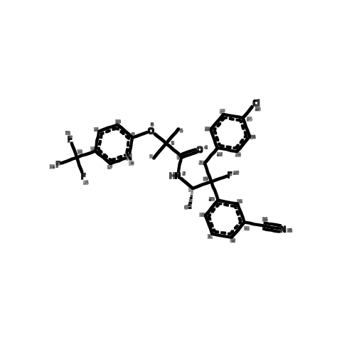 C[C@H](NC(=O)C(C)(C)Oc1ccc(C(F)(F)F)cn1)C(F)(Cc1ccc(Cl)cc1)c1cccc(C#N)c1